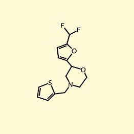 FC(F)c1ccc(C2CN(Cc3cccs3)CCO2)o1